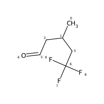 CC(CC=O)CC(F)(F)F